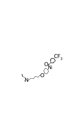 C=CCN(C)CCCCCCOC1CCC(N(C)C(=O)c2ccc(C(F)(F)F)cc2)CC1